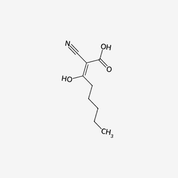 CCCCCC(O)=C(C#N)C(=O)O